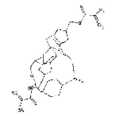 C=C(C)C(=O)OCC1CC2C(C1)C1C3COC(=O)C4CCC(CC4)C(=O)OCC4CC5C6CC(COC(=O)C(=C)C)CC6C4C51C2C3